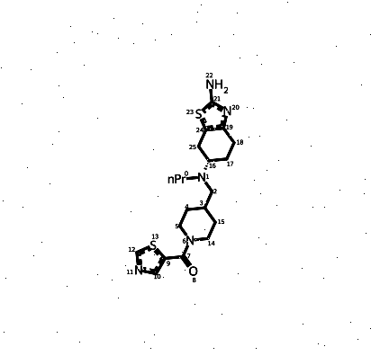 CCCN(CC1CCN(C(=O)c2cncs2)CC1)[C@H]1CCc2nc(N)sc2C1